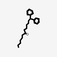 CCCCCCC(=O)CCCCCC(c1ccccc1)c1ccccc1